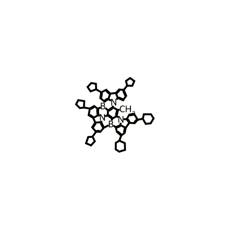 Cc1c2c3c4c5c1-n1c6ccc(C7CCCC7)cc6c6cc(C7CCCC7)cc(c61)B5c1cc(C5CCCC5)cc5c6cc(C7CCCC7)cc(c6n-4c15)B3c1cc(C3CCCCC3)cc3c4cc(C5CCCCC5)ccc4n-2c13